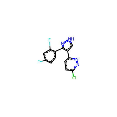 Fc1ccc(-c2n[nH]cc2-c2ccc(Cl)nn2)c(F)c1